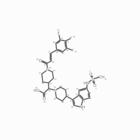 CS(=O)(=O)Nc1ccc2[nH]cc(C3CCN(C(C(=O)O)C4CCN(C(=O)/C=C/c5cc(F)c(F)c(F)c5)CC4)CC3)c2c1